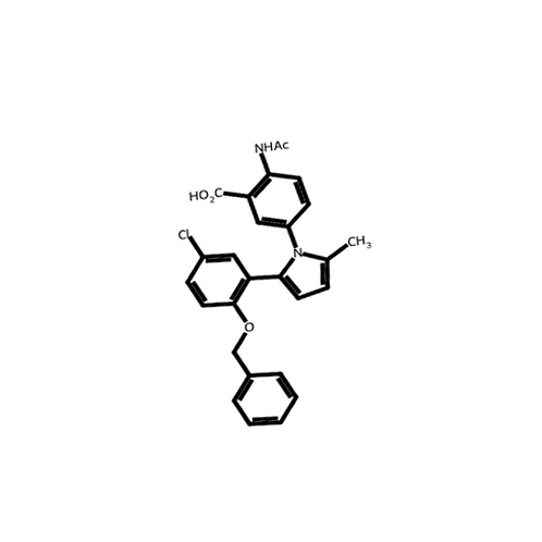 CC(=O)Nc1ccc(-n2c(C)ccc2-c2cc(Cl)ccc2OCc2ccccc2)cc1C(=O)O